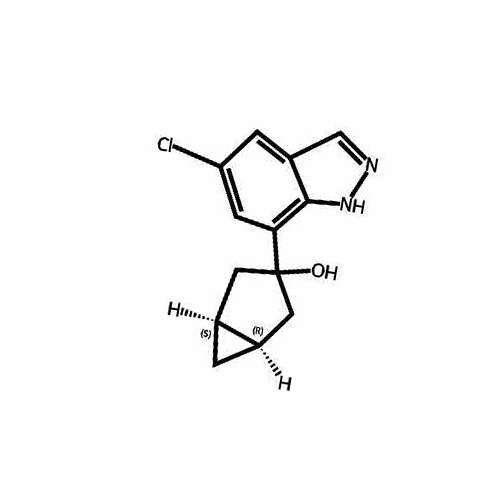 OC1(c2cc(Cl)cc3cn[nH]c23)C[C@H]2C[C@H]2C1